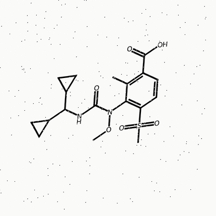 CON(C(=O)NC(C1CC1)C1CC1)c1c(S(C)(=O)=O)ccc(C(=O)O)c1C